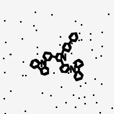 c1ccc(-c2ccc(-c3cc(-c4cccc(-n5c6ccccc6c6ccccc65)c4)cc(-c4cccc(-n5c6ccccc6c6ccccc65)c4)n3)cc2)cc1